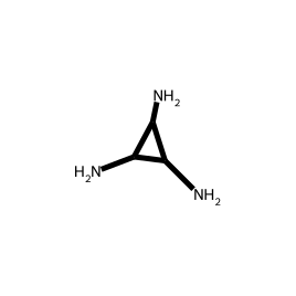 NC1C(N)C1N